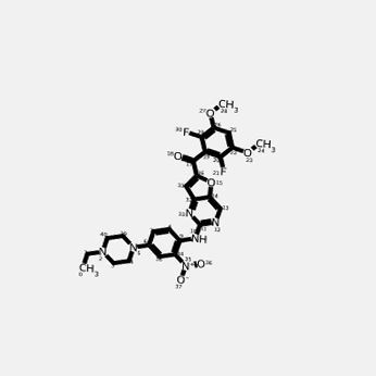 CCN1CCN(c2ccc(Nc3ncc4oc(C(=O)c5c(F)c(OC)cc(OC)c5F)cc4n3)c([N+](=O)[O-])c2)CC1